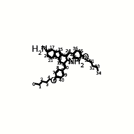 CCCCCOc1ccc(C=C2C=C3C(=Cc4cc(N)ccc43)C(=Cc3ccc(OCCCCC)cc3)C2N)cc1